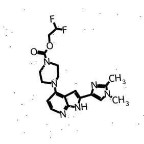 Cc1nc(-c2cc3c(N4CCN(C(=O)OCC(F)F)CC4)ccnc3[nH]2)cn1C